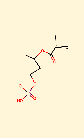 C=C(C)C(=O)OC(C)CCOP(=O)(O)O